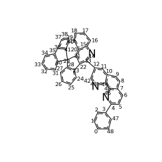 c1ccc(-c2ccc3ccc4cc(-c5nc6ccccc6c6c5-c5ccccc5C65c6ccccc6-c6ccccc65)cnc4c3n2)cc1